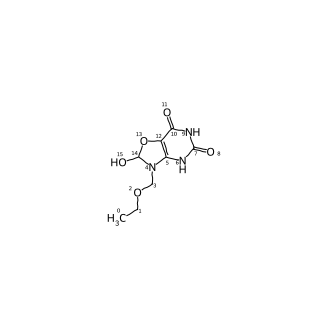 CCOCN1c2[nH]c(=O)[nH]c(=O)c2OC1O